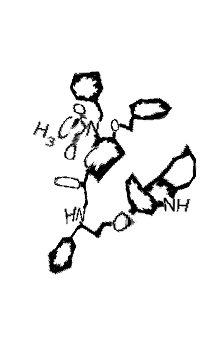 CS(=O)(=O)N(Cc1ccccc1)c1cc(C(=O)CNC(CCOc2ccc3c4c([nH]c3c2)CCCC4)c2ccccc2)ccc1OCc1ccccc1